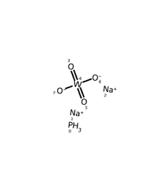 P.[Na+].[Na+].[O]=[W](=[O])([O-])[O-]